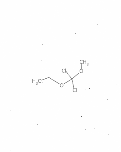 CCOC(Cl)(Cl)OC